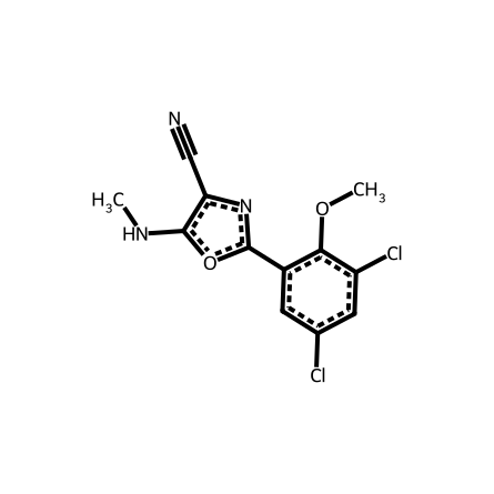 CNc1oc(-c2cc(Cl)cc(Cl)c2OC)nc1C#N